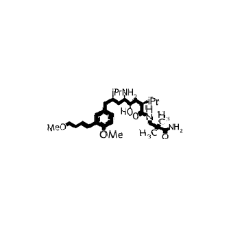 COCCC=Cc1cc(C[C@@H](C[C@H](N)[C@@H](O)C[C@H](C(=O)NCC(C)(C)C(N)=O)C(C)C)C(C)C)ccc1OC